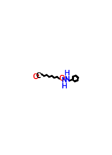 O=C=CCCCCCCCONNCc1ccccc1